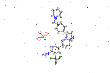 CS(=O)(=O)[O-].Nc1ncc(-c2ccc3ncc(-c4ccc(C[n+]5ccccc5)cc4)n3n2)cc1C(F)(F)F